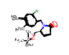 COc1cc(CN2C(=O)CC[C@H]2CO[Si](C)(C)C(C)(C)C)c(Br)cc1C(C)(C)C